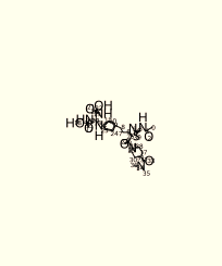 CC(=O)Nc1nc(CCc2ccc(NC(NC(=O)O)NC(=O)O)cc2)c(C(=O)N2CCC(C(=O)N(C)C)CC2)s1